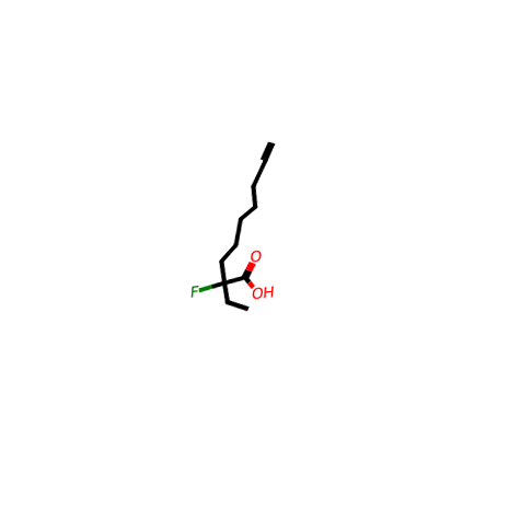 C=CCCCCCC(F)(CC)C(=O)O